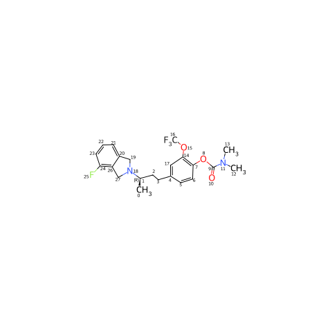 C[C@H](CCc1ccc(OC(=O)N(C)C)c(OC(F)(F)F)c1)N1Cc2cccc(F)c2C1